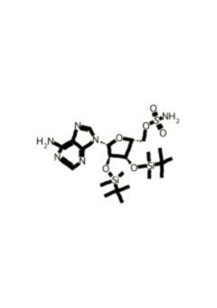 CC(C)(C)[Si](C)(C)O[C@@H]1[C@H](O[Si](C)(C)C(C)(C)C)[C@@H](COS(N)(=O)=O)O[C@H]1n1cnc2c(N)ncnc21